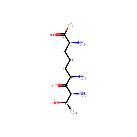 C[C@@H](O)[C@H](N)C(=O)C(N)CCC[C@H](N)C(=O)O